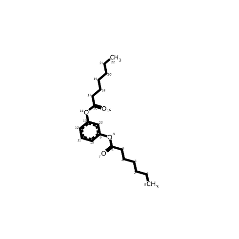 CCCCCCC(=O)Oc1cccc(OC(=O)CCCCCC)c1